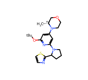 C[C@@H]1COCCN1c1cc(OC(C)(C)C)nc(N2CCCC2c2nccs2)c1